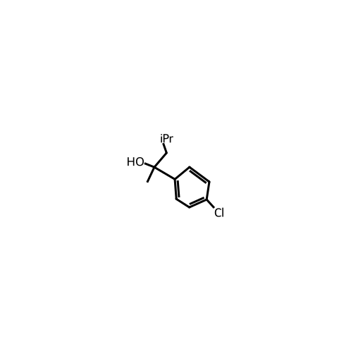 CC(C)CC(C)(O)c1ccc(Cl)cc1